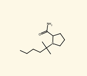 CCCCC(C)(C)N1CCCC1C(N)=O